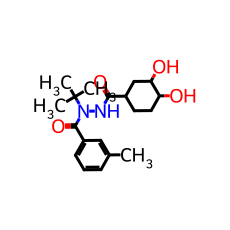 Cc1cccc(C(=O)N(NC(=O)C2CCC(O)C(O)C2)C(C)(C)C)c1